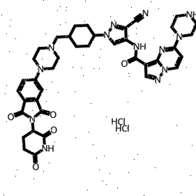 Cl.Cl.N#Cc1nn(C2CCC(CN3CCN(c4ccc5c(c4)C(=O)N(C4CCC(=O)NC4=O)C5=O)CC3)CC2)cc1NC(=O)c1cnn2ccc(N3CCNCC3)nc12